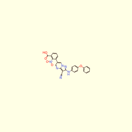 N#Cc1c(Nc2ccc(Oc3ccccc3)cc2)nn2cc(-c3cccc(C(=O)O)c3[N+](=O)[O-])cnc12